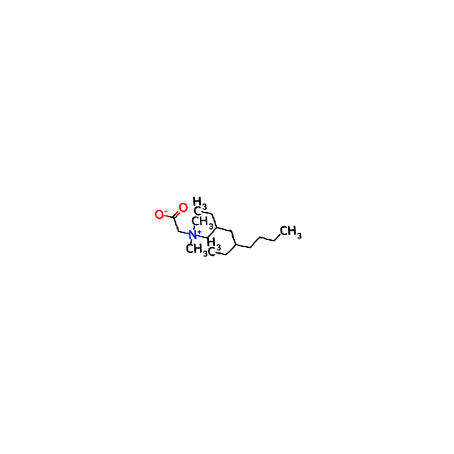 CCCCC(CC)CC(CC)C[N+](C)(C)CC(=O)[O-]